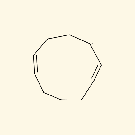 [CH]1/C=C\CCC/C=C\CC1